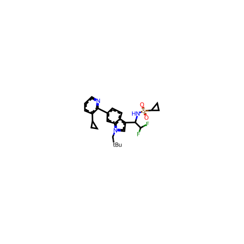 CC(C)(C)Cn1cc(C(NS(=O)(=O)C2CC2)C(F)F)c2ccc(-c3ncccc3C3CC3)cc21